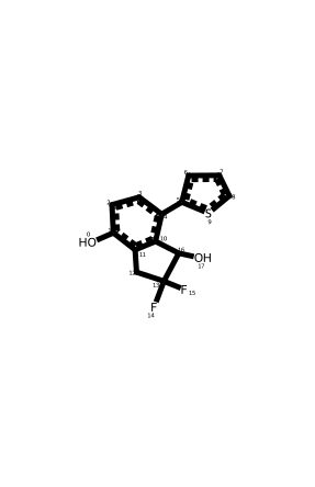 Oc1ccc(-c2cccs2)c2c1CC(F)(F)C2O